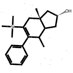 CC1C(c2ccccc2)=C([Si](C)(C)C)C[C@]2(C)C[C@H](O)CC12